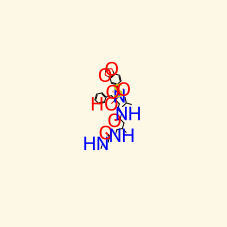 CNCC(=O)NCC(C)CC(=O)NCCC(O)(Cc1ccccc1)N(CC(C)C)S(=O)(=O)c1ccc2c(c1)OCO2